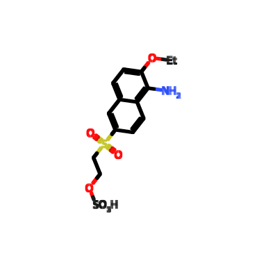 CCOc1ccc2cc(S(=O)(=O)CCOS(=O)(=O)O)ccc2c1N